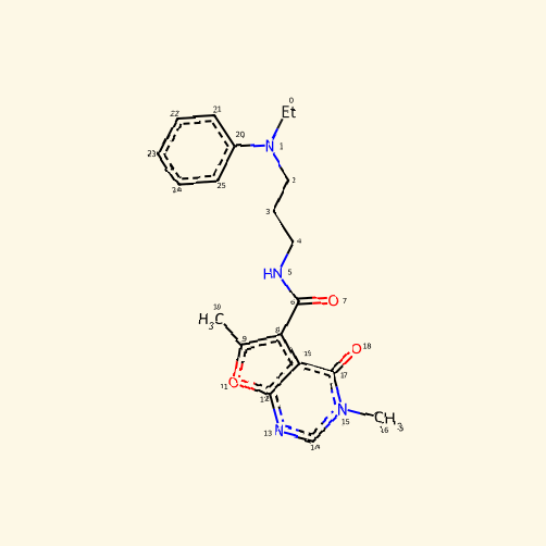 CCN(CCCNC(=O)c1c(C)oc2ncn(C)c(=O)c12)c1ccccc1